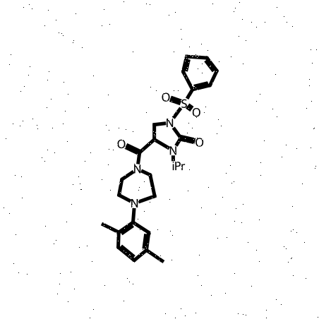 Cc1ccc(C)c(N2CCN(C(=O)C3CN(S(=O)(=O)c4ccccc4)C(=O)N3C(C)C)CC2)c1